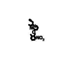 C#CCc1c(C)nc2c(OCc3c(C)cccc3[N+](=O)[O-])cccn12